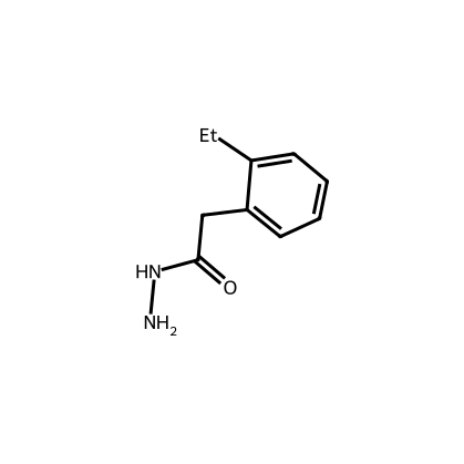 CCc1ccccc1CC(=O)NN